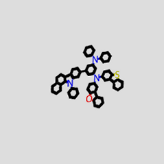 c1ccc(N(c2ccccc2)c2cc(-c3ccc4c5ccc6ccccc6c5n(-c5ccccc5)c4c3)cc(N(c3ccc4oc5ccccc5c4c3)c3ccc4sc5ccccc5c4c3)c2)cc1